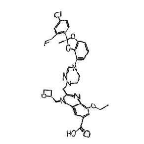 CCOc1cc(C(=O)O)cc2c1nc(CN1CCN(c3cccc4c3O[C@](C)(c3ccc(Cl)cc3F)O4)C=N1)n2C[C@@H]1CCO1